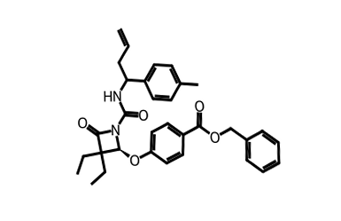 C=CCC(NC(=O)N1C(=O)C(CC)(CC)[C@@H]1Oc1ccc(C(=O)OCc2ccccc2)cc1)c1ccc(C)cc1